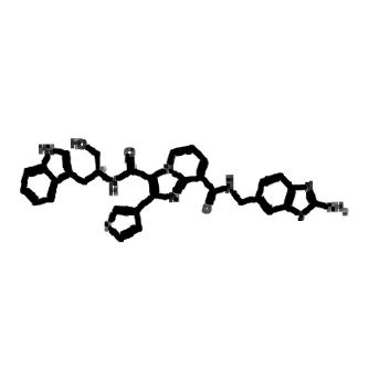 Nc1nc2ccc(CNC(=O)c3cccn4c(C(=O)N[C@H](CO)Cc5c[nH]c6ccccc56)c(-c5ccsc5)nc34)cc2s1